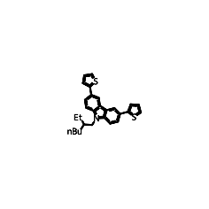 CCCCC(CC)Cn1c2ccc(-c3cccs3)cc2c2cc(-c3cccs3)ccc21